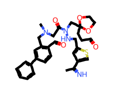 CC(=N)c1csc(CNN(CC2(CCC=O)OCCO2)C(=O)CN(C)Cc2cc(-c3ccccc3)ccc2C=O)c1